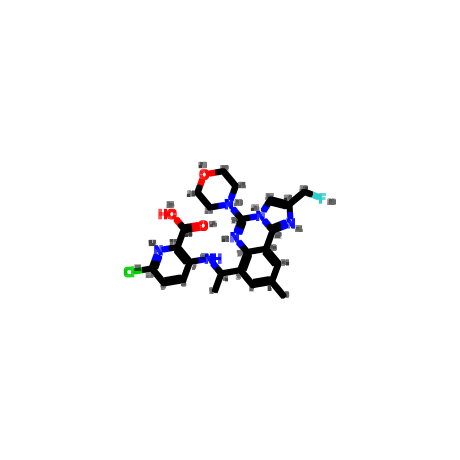 Cc1cc(C(C)Nc2ccc(Cl)nc2C(=O)O)c2nc(N3CCOCC3)n3cc(CF)nc3c2c1